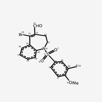 COc1ccc(S(=O)(=O)N2CCC(C=O)=C(Br)c3ccccc32)cc1F